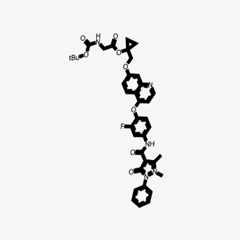 Cc1c(C(=O)Nc2ccc(Oc3ccnc4cc(OCC5(OC(=O)CNC(=O)OC(C)(C)C)CC5)ccc34)c(F)c2)c(=O)n(-c2ccccc2)n1C